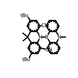 CN1c2ccccc2B(N2c3c(C#N)cc(C(C)(C)C)cc3C(C)(C)c3cc(C(C)(C)C)cc(C#N)c32)c2ccccc21